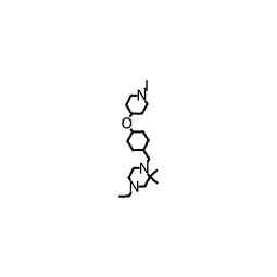 CCN1CCN(CC2CCC(OC3CCN(I)CC3)CC2)C(C)(C)C1